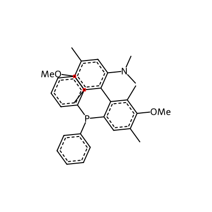 COc1c(C)cc(N(C)C)c(-c2c(P(c3ccccc3)c3ccccc3)cc(C)c(OC)c2C)c1C